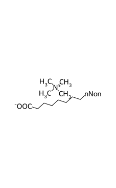 CCCCCCCCCCCCCCCCC(=O)[O-].C[N+](C)(C)C